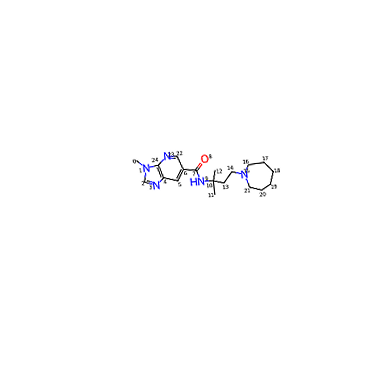 Cn1cnc2cc(C(=O)NC(C)(C)CCN3CCCCCC3)cnc21